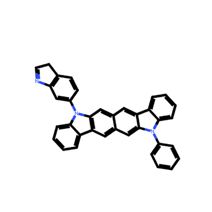 C1=Nc2cc(-n3c4ccccc4c4cc5cc6c(cc5cc43)c3ccccc3n6-c3ccccc3)ccc2C1